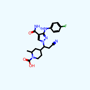 CC1CC(C(CC#N)n2cc(C(N)=O)c(Nc3ccc(F)cc3)n2)CCN1C(=O)O